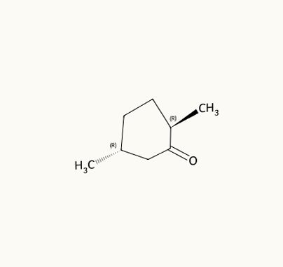 C[C@@H]1CC[C@@H](C)C(=O)C1